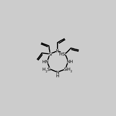 C=CN1[SiH](C=C)N[SiH2]N[SiH2]N[Si]1(C=C)C=C